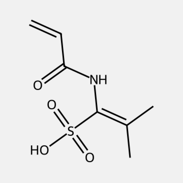 C=CC(=O)NC(=C(C)C)S(=O)(=O)O